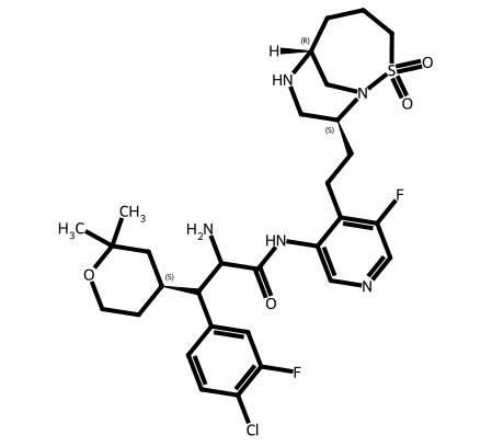 CC1(C)C[C@@H](C(c2ccc(Cl)c(F)c2)C(N)C(=O)Nc2cncc(F)c2CC[C@H]2CN[C@@H]3CCCS(=O)(=O)N2C3)CCO1